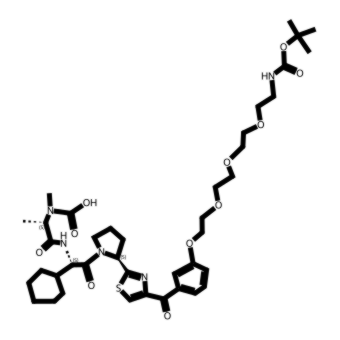 C[C@@H](C(=O)N[C@H](C(=O)N1CCC[C@H]1c1nc(C(=O)c2cccc(OCCOCCOCCOCCNC(=O)OC(C)(C)C)c2)cs1)C1CCCCC1)N(C)C(=O)O